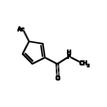 CPC(=O)C1=CC(C(C)=O)C=C1